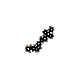 c1ccc(-c2c3ccccc3c(-c3ccc4cc(-c5ccc6c(c5)sc5ccc7cc8c(cc7c56)sc5ccccc58)ccc4c3)c3ccccc23)cc1